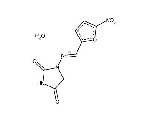 O.O=C1CN(/N=C/c2ccc([N+](=O)[O-])o2)C(=O)N1